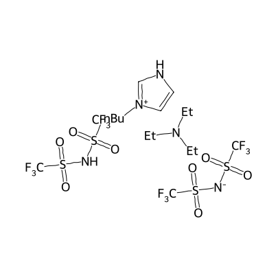 CCCC[n+]1cc[nH]c1.CCN(CC)CC.O=S(=O)(NS(=O)(=O)C(F)(F)F)C(F)(F)F.O=S(=O)([N-]S(=O)(=O)C(F)(F)F)C(F)(F)F